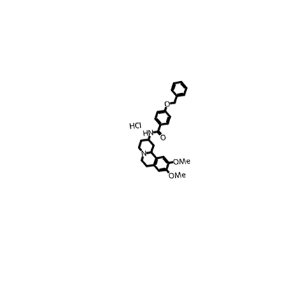 COc1cc2c(cc1OC)C1CC(NC(=O)c3ccc(OCc4ccccc4)cc3)CCN1CC2.Cl